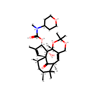 CC1=C[C@]23C(=O)[C@@H](C=C4COC(C)(C)O[C@H]4[C@]2(O)[C@H]1OC(=O)N(C)C1CCOCC1)C(C)(C)[C@@H](C)C[C@H]3C